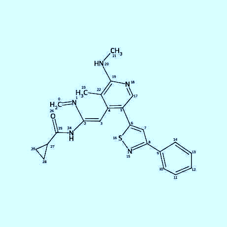 C=N/C(=C\c1c(-c2cc(-c3ccccc3)ns2)cnc(NC)c1C)NC(=O)C1CC1